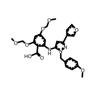 COCOc1cc(Nc2cc(-c3ccoc3)nn2Cc2ccc(OC)cc2)c(C(=O)O)c(OCOC)c1